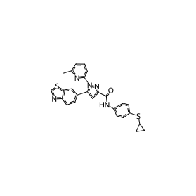 Cc1cccc(-n2nc(C(=O)Nc3ccc(SC4CC4)cc3)cc2-c2ccc3ncsc3c2)n1